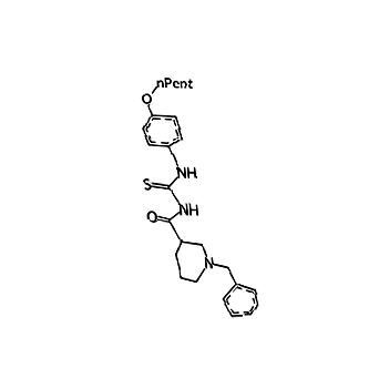 CCCCCOc1ccc(NC(=S)NC(=O)C2CCCN(Cc3ccccc3)C2)cc1